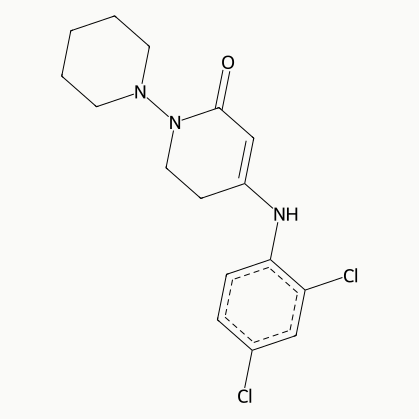 O=C1C=C(Nc2ccc(Cl)cc2Cl)CCN1N1CCCCC1